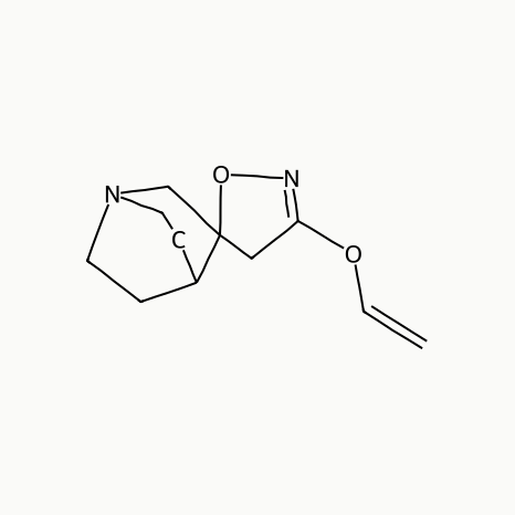 C=COC1=NOC2(C1)CN1CCC2CC1